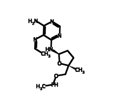 C/C=N\c1c(N)ncnc1N[C@H]1CC[C@@](C)(COPC)O1